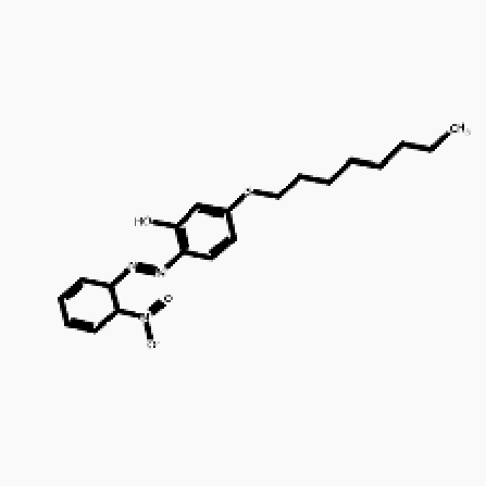 CCCCCCCCSc1ccc(/N=N/C2C=CC=CC2[N+](=O)[O-])c(O)c1